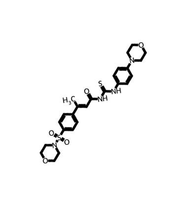 C/C(=C\C(=O)NC(=S)Nc1ccc(N2CCOCC2)cc1)c1ccc(S(=O)(=O)N2CCOCC2)cc1